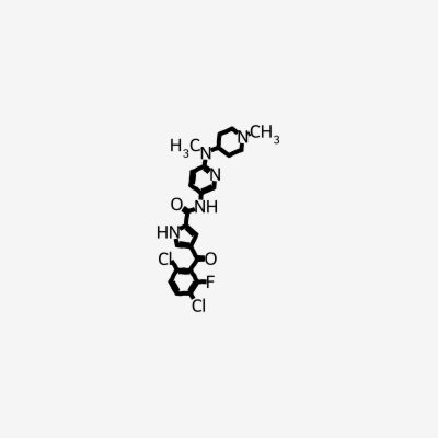 CN1CCC(N(C)c2ccc(NC(=O)c3cc(C(=O)c4c(Cl)ccc(Cl)c4F)c[nH]3)cn2)CC1